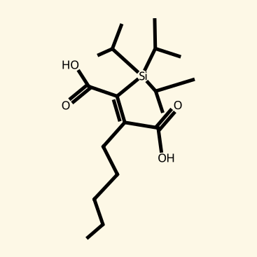 CCCCC/C(C(=O)O)=C(\C(=O)O)[Si](C(C)C)(C(C)C)C(C)C